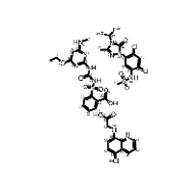 CCOc1nc(NC)nc(NC(=O)NS(=O)(=O)c2ccccc2C(=O)O)n1.Cc1nn(-c2cc(NS(C)(=O)=O)c(Cl)cc2Cl)c(=O)n1C(F)F.O=C(O)COc1ccc(Cl)c2cccnc12